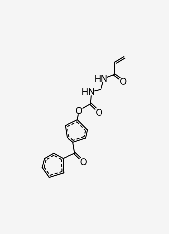 C=CC(=O)NCNC(=O)Oc1ccc(C(=O)c2ccccc2)cc1